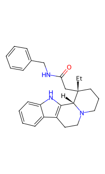 CC[C@@]1(CC(=O)NCc2ccccc2)CCCN2CCc3c([nH]c4ccccc34)[C@@H]21